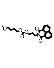 COCCCCOC(=O)OCCCN1C(=O)c2cccc3cccc(c23)C1=O